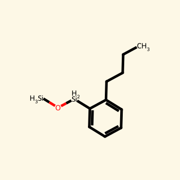 CCCCc1ccccc1[SiH2]O[SiH3]